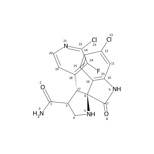 NC(=O)C1CN[C@@]2(C(=O)Nc3cc(Cl)ccc32)[C@H]1c1ccnc(Cl)c1F